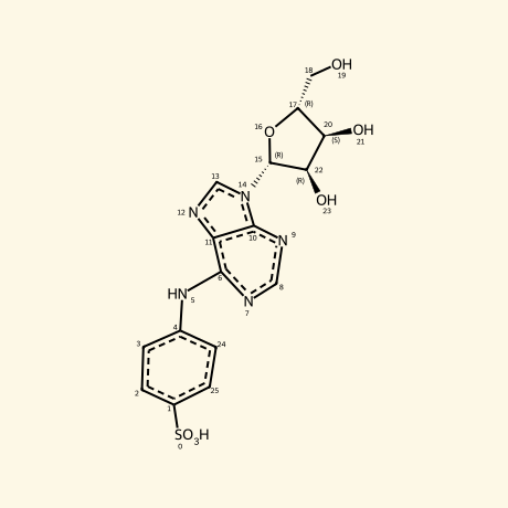 O=S(=O)(O)c1ccc(Nc2ncnc3c2ncn3[C@@H]2O[C@H](CO)[C@@H](O)[C@H]2O)cc1